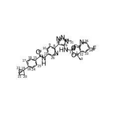 C[C@@H](OC(=O)Nc1c(-c2ccc(NC(=O)c3ccc(C45CC(C4)C5)cc3)cn2)nnn1C)c1cc(F)cnc1F